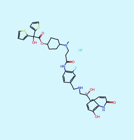 CN(CCC(=O)Nc1ccc(CNC[C@@H](O)c2ccc(O)c3[nH]c(=O)ccc23)cc1F)C1CCC(OC(=O)C(O)(c2cccs2)c2cccs2)CC1.F